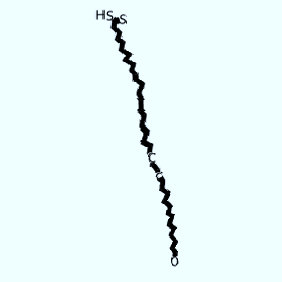 O=CCCCCCCCCCCCCCCCCCCCCCCCCCCCCCCCCCCCCCC(=S)S